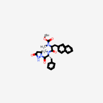 CN(C(=O)OC(C)(C)C)C(Cc1ccc2ccccc2c1)C(=O)N(C)[C@H](Cc1ccccc1)C(=O)N1CCC(=O)N1